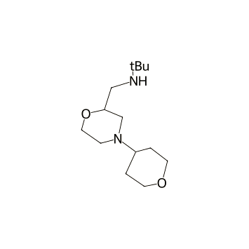 CC(C)(C)NCC1CN(C2CCOCC2)CCO1